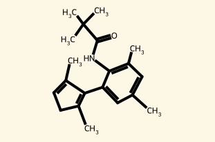 CC1=CCC(C)=C1c1cc(C)cc(C)c1NC(=O)C(C)(C)C